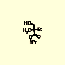 CCCOC(=O)C(C)(CC)CO